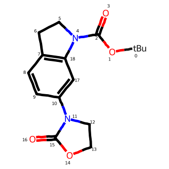 CC(C)(C)OC(=O)N1CCc2ccc(N3CCOC3=O)cc21